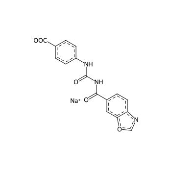 O=C(NC(=O)c1ccc2ncoc2c1)Nc1ccc(C(=O)[O-])cc1.[Na+]